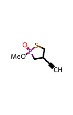 C#CC1CSP(=O)(OC)C1